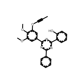 CC#COc1cc(-c2nc(-c3ccccc3)nc(-c3ccccc3O)n2)cc(OC)c1OC